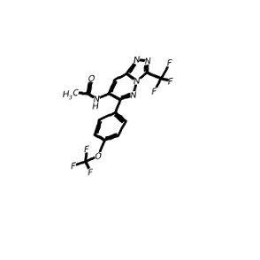 CC(=O)Nc1cc2nnc(C(F)(F)F)n2nc1-c1ccc(OC(F)(F)F)cc1